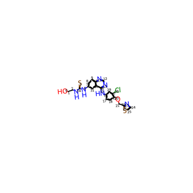 OCCNC(=S)Nc1ccc2ncnc(Nc3ccc(OCc4nccs4)c(Cl)c3)c2c1